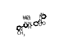 Cc1cccc(-c2ccc(NC[C@H]3CC[C@]4(CC3)CN(c3cccnn3)C(=O)O4)nc2)n1.Cl.Cl